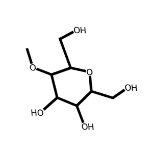 COC1C(CO)OC(CO)C(O)C1O